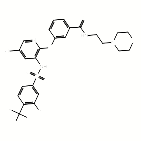 O=C(NCCN1CCOCC1)c1cccc(Oc2ncc(Cl)cc2NS(=O)(=O)c2ccc(C(F)(F)F)c(Cl)c2)c1